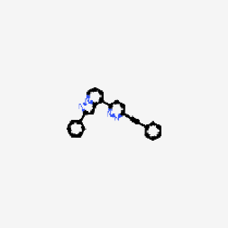 C(#Cc1ccc(-c2cccn3nc(-c4ccccc4)cc23)nn1)c1ccccc1